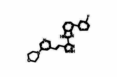 Fc1cccc(-c2cccc3[nH]c(-c4n[nH]cc4C=Cc4cncc(N5CCOCC5)c4)nc23)c1